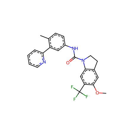 COc1cc2c(cc1C(F)(F)F)N(C(=O)Nc1ccc(C)c(-c3ccccn3)c1)CC2